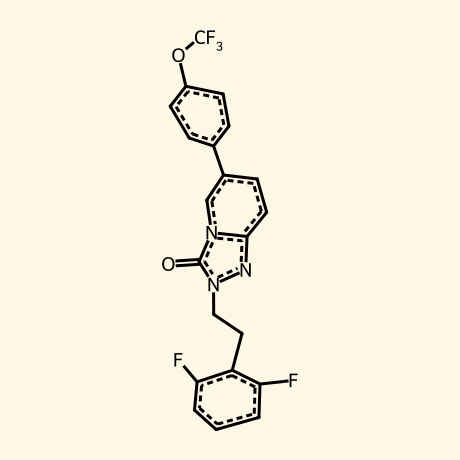 O=c1n(CCc2c(F)cccc2F)nc2ccc(-c3ccc(OC(F)(F)F)cc3)cn12